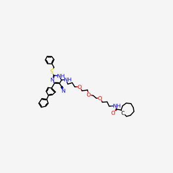 N#CC1=C(c2ccc(-c3ccccc3)cc2)N=C(SCc2ccccc2)NC1NCCCOCCOCCOCCCNC(=O)C1CCCCCCCC1